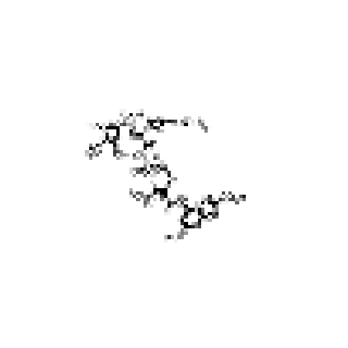 Cc1cc(SCC2=C(C(=O)O)N3C(=O)[C@@H](NC(=O)C(=NO[C@H](C(=O)O)c4cc(O)c(O)c(O)c4)c4csc(N)n4)[C@H]3SC2)n2nc(C(=O)O)nc2n1